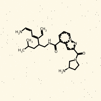 C=C/C(=C\C=C/N)C(CNC(=O)c1cccn2nc(C(=O)N3CC[C@@H](N)C3)cc12)CC(C)C